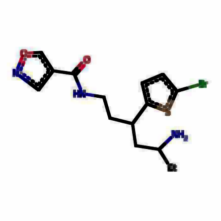 CCC(N)CC(CCNC(=O)c1cnoc1)c1ccc(Br)s1